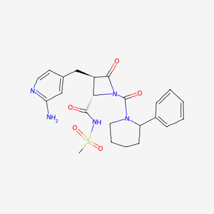 CS(=O)(=O)NC(=O)[C@@H]1[C@@H](Cc2ccnc(N)c2)C(=O)N1C(=O)N1CCCCC1c1ccccc1